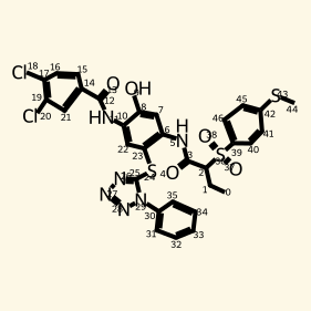 CCC(C(=O)Nc1cc(O)c(NC(=O)c2ccc(Cl)c(Cl)c2)cc1Sc1nnnn1-c1ccccc1)S(=O)(=O)c1ccc(SC)cc1